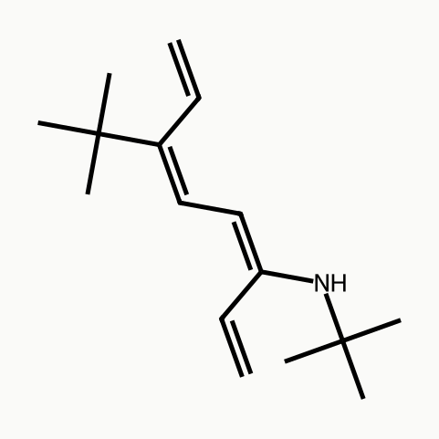 C=C/C(=C\C=C(/C=C)C(C)(C)C)NC(C)(C)C